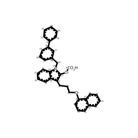 O=C(O)Oc1c(CCCOc2cccc3ccccc23)c2ccccc2n1Cc1cccc(-c2ccccc2)c1